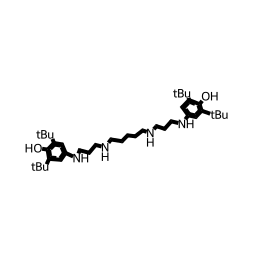 CC(C)(C)c1cc(NCCCNCCCCCNCCCNc2cc(C(C)(C)C)c(O)c(C(C)(C)C)c2)cc(C(C)(C)C)c1O